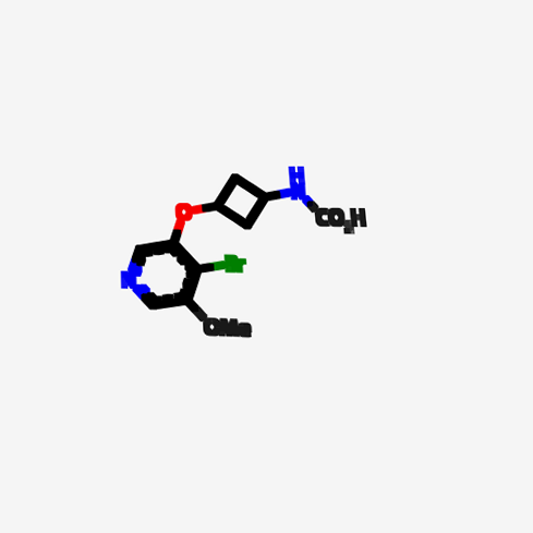 COc1cncc(OC2CC(NC(=O)O)C2)c1Br